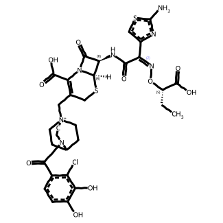 CC[C@H](O/N=C(\C(=O)N[C@@H]1C(=O)N2C(C(=O)O)=C(C[N+]34CCC(CC3)N(C(=O)c3ccc(O)c(O)c3Cl)CC4)CS[C@H]12)c1csc(N)n1)C(=O)O